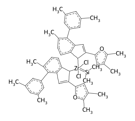 Cc1cc(C)cc(-c2c(C)ccc3c2C=C(c2cc(C)c(C)o2)[CH]3[Zr]([Cl])([Cl])([CH]2C(c3cc(C)c(C)o3)=Cc3c2ccc(C)c3-c2cc(C)cc(C)c2)=[Si](C)C)c1